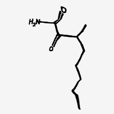 CCCCCC(C)C(=O)C(N)=O